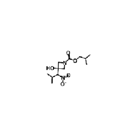 CC(C)COC(=O)N1CC(O)(C(C(C)C)[N+](=O)[O-])C1